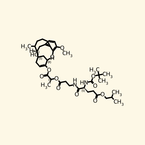 COc1ccc2c3c1O[C@@H]1C[C@@](O)(CC=C1OC(=O)[C@H](C)OC(=O)CCNC(=O)[C@H](CCC(=O)OCC(C)C)NC(=O)OC(C)(C)C)[C@@H](C2)C(C)CCC3